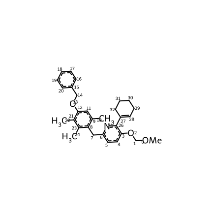 COCOc1ccc(Cc2c(C)cc(OCc3ccccc3)c(C)c2C)nc1C1=CCCCC1